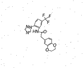 O=C(Cc1ccc2c(c1)OCCO2)Nc1cc(C(F)(F)F)ccc1-n1cncn1